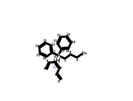 C=C/C=C(\C=C)[PH](CCCI)(c1ccccc1)c1ccccc1